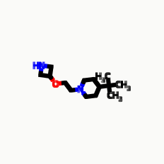 CC(C)(C)C1CCN(CCOC2CNC2)CC1